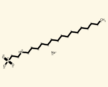 CCCCCCCCCCCCCCCCNCCS(=O)(=O)[O-].[Na+]